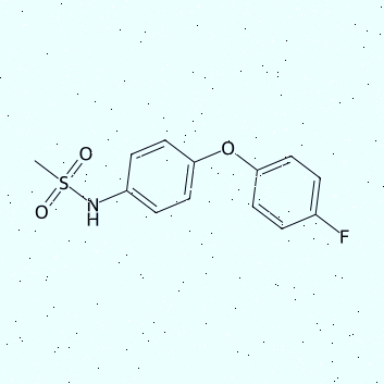 CS(=O)(=O)Nc1ccc(Oc2ccc(F)cc2)cc1